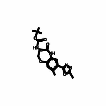 Cc1nnc(-c2cc3c(cc2C)OC[C@H](NC(=O)OC(C)(C)C)C(=O)N3)o1